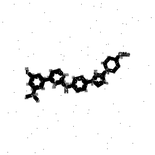 COC1CCN(c2ncn(-c3ccc(Nc4nccc(-c5cc(F)cc(N(C)C)c5)n4)cc3)n2)CC1